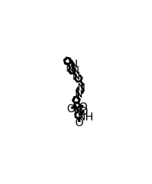 O=C1CCN(N2C(=O)c3ccc(N4CCN(CC5CCN(c6ccn7c(n6)nc6ccccc67)CC5)CC4)cc3C2=O)C(=O)N1